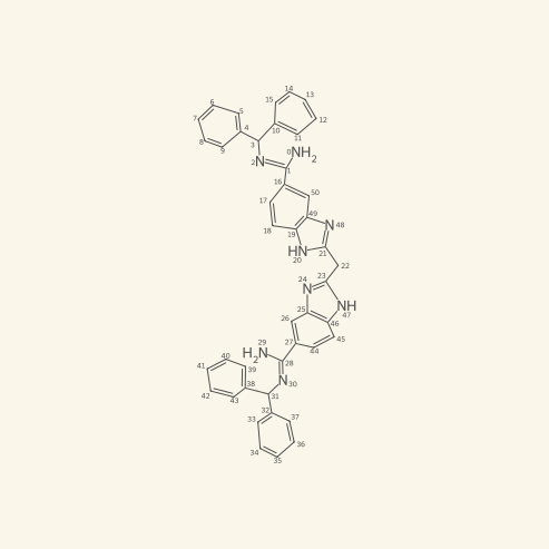 NC(=NC(c1ccccc1)c1ccccc1)c1ccc2[nH]c(Cc3nc4cc(C(N)=NC(c5ccccc5)c5ccccc5)ccc4[nH]3)nc2c1